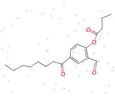 CCCCCCCC(=O)c1ccc(OC(=O)CCC)c([C]=O)c1